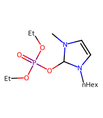 CCCCCCN1C=CN(C)C1OP(=O)(OCC)OCC